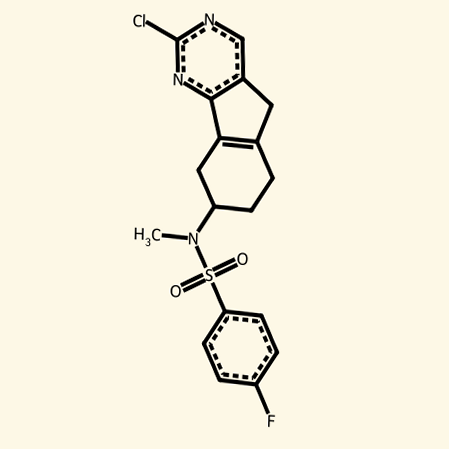 CN(C1CCC2=C(C1)c1nc(Cl)ncc1C2)S(=O)(=O)c1ccc(F)cc1